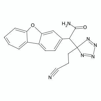 N#CCCC1(C(C(N)=O)c2ccc3c(c2)oc2ccccc23)N=NN=N1